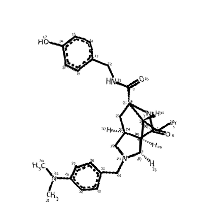 CC(C)C[C@@H]1[C@@H]2[C@@H]3C(=O)N[C@@]1(C(=O)NCc1ccc(O)cc1)C[C@@H]3CN2Cc1ccc(N(C)C)cc1